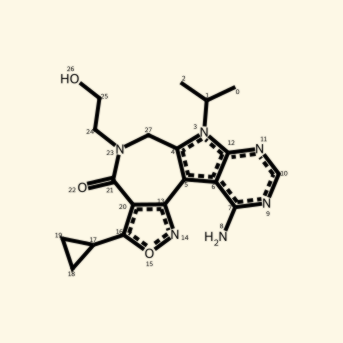 CC(C)n1c2c(c3c(N)ncnc31)-c1noc(C3CC3)c1C(=O)N(CCO)C2